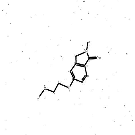 CN1Cc2cc(OCCOI)ccc2C1=O